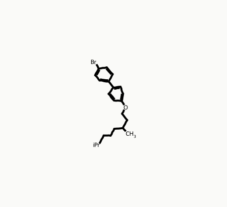 CC(C)CCCC(C)CCOc1ccc(-c2ccc(Br)cc2)cc1